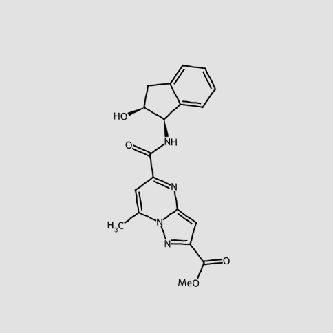 COC(=O)c1cc2nc(C(=O)N[C@@H]3c4ccccc4C[C@@H]3O)cc(C)n2n1